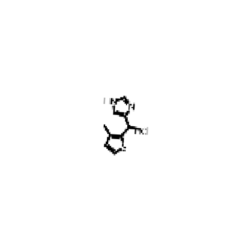 Cc1ccsc1C(C)c1c[nH]cn1.Cl